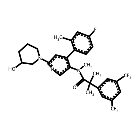 Cc1cc(F)ccc1-c1cc(N2CCCC(O)C2)ncc1N(C)C(=O)C(C)(C)c1cc(C(F)(F)F)cc(C(F)(F)F)c1